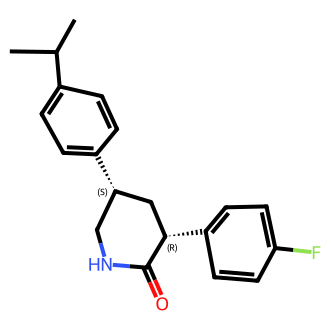 CC(C)c1ccc([C@H]2CNC(=O)[C@@H](c3ccc(F)cc3)C2)cc1